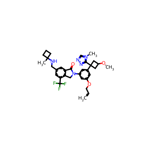 C=CCOc1cc(N2Cc3c(cc(CNC4(C)CCC4)cc3C(F)(F)F)C2=O)cc(C2(c3nncn3C)CC(OC)C2)c1